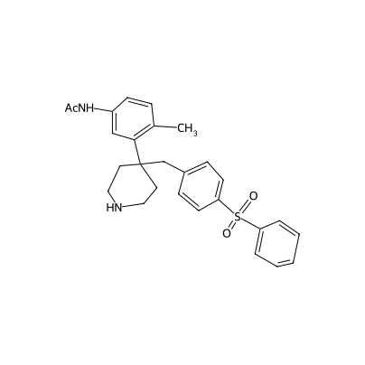 CC(=O)Nc1ccc(C)c(C2(Cc3ccc(S(=O)(=O)c4ccccc4)cc3)CCNCC2)c1